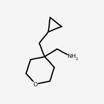 NCC1(CC2CC2)CCOCC1